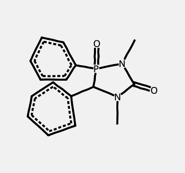 CN1C(=O)N(C)P(=O)(c2ccccc2)C1c1ccccc1